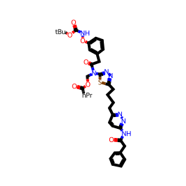 CCCC(=O)OCN(C(=O)Cc1cccc(ONC(=O)OC(C)(C)C)c1)c1nnc(CCCCc2ccc(NC(=O)Cc3ccccc3)nn2)s1